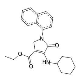 CCOC(=O)C1=C(NC2CCCCC2)C(=O)N(c2cccc3ccccc23)C1